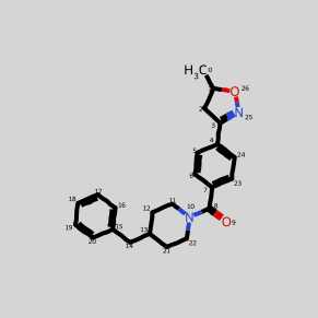 CC1CC(c2ccc(C(=O)N3CCC(Cc4ccccc4)CC3)cc2)=NO1